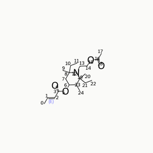 C/C=C/C(=O)OC1CC(C)(CC)N(CCOC(C)=O)C(C)(CC)C1C